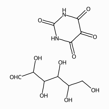 O=C1NC(=O)C(=O)C(=O)N1.O=CC(O)C(O)C(O)C(O)CO